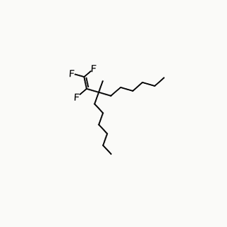 CCCCCCC(C)(CCCCCC)C(F)=C(F)F